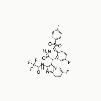 Cc1ccc(S(=O)(=O)N=c2ccc(F)cn2C(C(N)=O)c2c(NC(=O)C(F)(F)F)nc3ccc(F)cn23)cc1